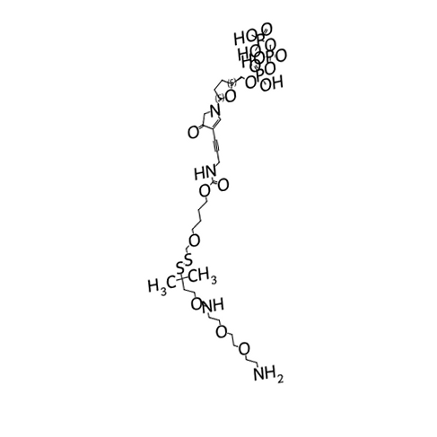 CC(C)(CCONCCOCCOCCN)SSCOCCCCOC(=O)NCC#CC1=CN([C@@H]2CC[C@@H](COP(=O)(O)OP(=O)(O)OP(=O)(O)O)O2)CC1=O